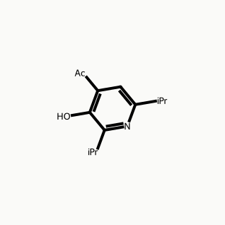 CC(=O)c1cc(C(C)C)nc(C(C)C)c1O